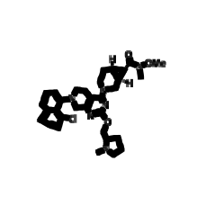 CON(C)C(=O)[C@H]1[C@@H]2CCN(c3nc(OCC4CCCN4C)nc4c3CCN(c3cccc5cccc(Cl)c35)C4)C[C@@H]21